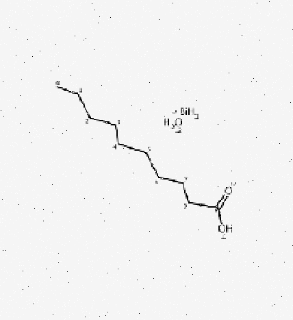 CCCCCCCCCC(=O)O.O.[BiH3]